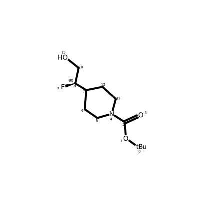 CC(C)(C)OC(=O)N1CCC([C@@H](F)CO)CC1